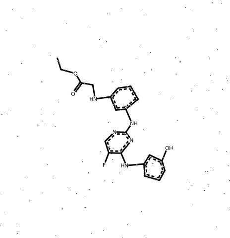 CCOC(=O)CNc1cccc(Nc2ncc(F)c(Nc3cccc(O)c3)n2)c1